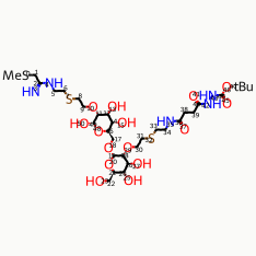 CSCC(=N)NCCSCCO[C@@H]1[C@@H](O)[C@H](O)[C@@H](CO[C@H]2O[C@H](CO)[C@@H](O)[C@H](O)[C@H]2OCCSCCNC(=O)CCC(=O)NNC(=O)OC(C)(C)C)O[C@@H]1O